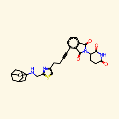 O=C1CCC(N2C(=O)c3cccc(C#CCCc4csc(CNC56CC7CC(CC5C7)C6)n4)c3C2=O)C(=O)N1